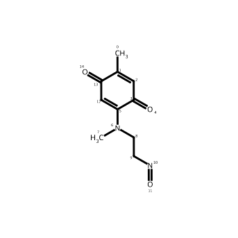 CC1=CC(=O)C(N(C)CCN=O)=CC1=O